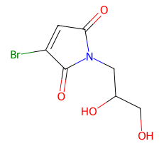 O=C1C=C(Br)C(=O)N1CC(O)CO